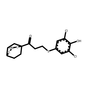 O=C(CCSc1cc(Cl)c(O)c(Cl)c1)C12CCC(CC1)CNC2